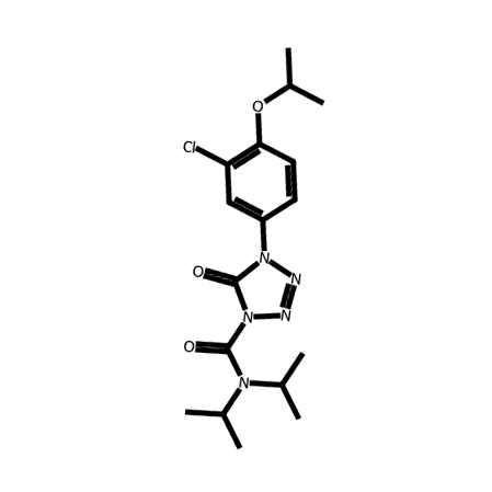 CC(C)Oc1ccc(-n2nnn(C(=O)N(C(C)C)C(C)C)c2=O)cc1Cl